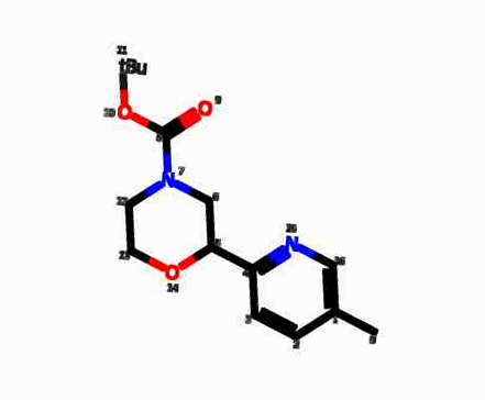 Cc1ccc(C2CN(C(=O)OC(C)(C)C)CCO2)nc1